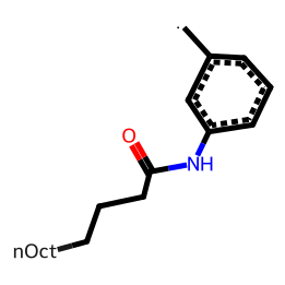 [CH2]c1cccc(NC(=O)CCCCCCCCCCC)c1